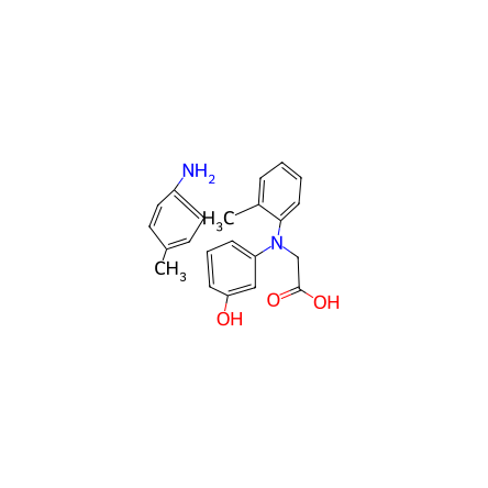 Cc1ccc(N)cc1.Cc1ccccc1N(CC(=O)O)c1cccc(O)c1